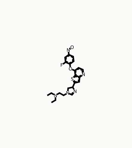 CCN(CC)CCN1C=NC(c2cc3nccc(Oc4ccc(N=O)cc4F)c3s2)C1